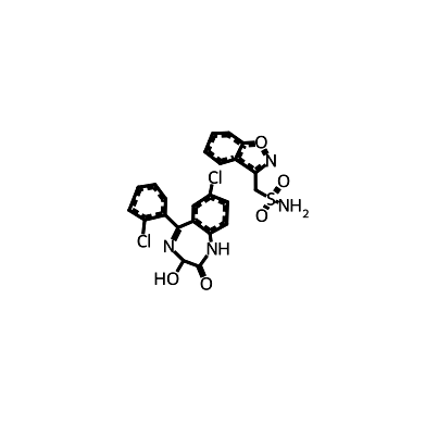 NS(=O)(=O)Cc1noc2ccccc12.O=C1Nc2ccc(Cl)cc2C(c2ccccc2Cl)=NC1O